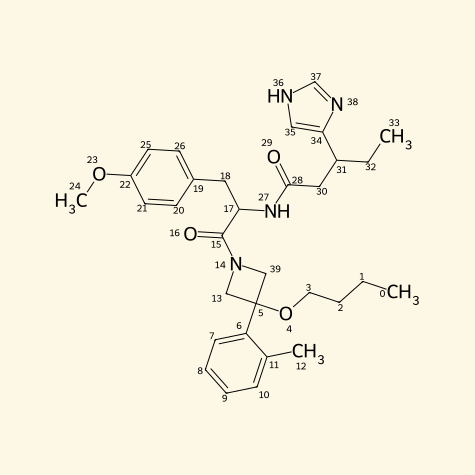 CCCCOC1(c2ccccc2C)CN(C(=O)C(Cc2ccc(OC)cc2)NC(=O)CC(CC)c2c[nH]cn2)C1